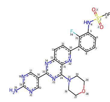 CCCS(=O)(=O)Nc1cccc(-c2ccc3nc(-c4cnc(N)nc4)nc(N4CCOCC4)c3n2)c1F